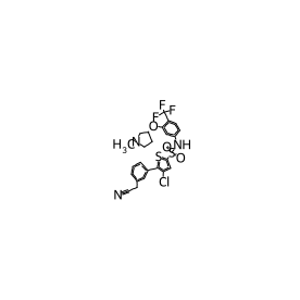 CN1CC[C@@H](Oc2cc(NS(=O)(=O)c3cc(Cl)c(-c4cccc(CC#N)c4)s3)ccc2C(F)(F)F)C1